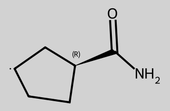 NC(=O)[C@@H]1C[CH]CC1